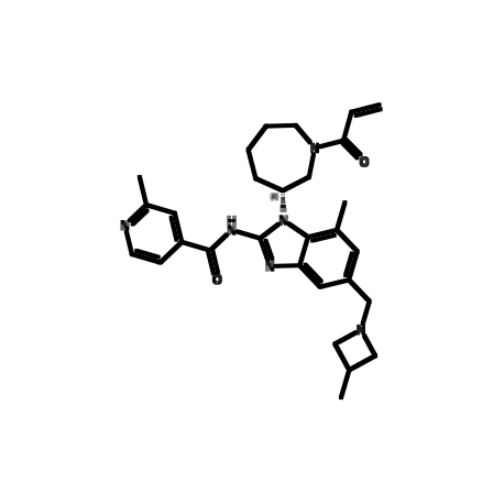 C=CC(=O)N1CCCC[C@@H](n2c(NC(=O)c3ccnc(C)c3)nc3cc(CN4CC(C)C4)cc(C)c32)C1